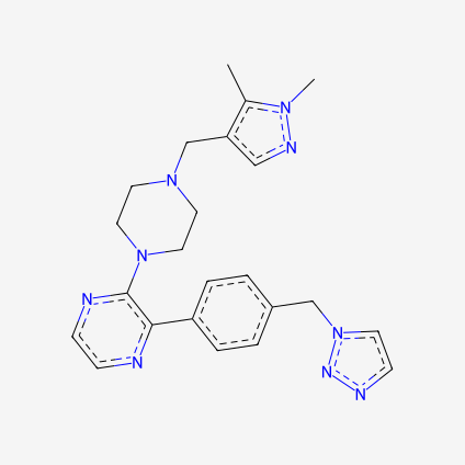 Cc1c(CN2CCN(c3nccnc3-c3ccc(Cn4ccnn4)cc3)CC2)cnn1C